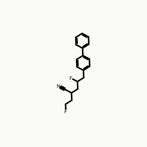 N#CC(CCF)CC(F)Cc1ccc(-c2ccccc2)cc1